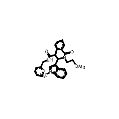 COCCN1C(=O)c2ccccc2C(C(=O)NCc2ccccn2)C1c1cn(C)c2ccccc12